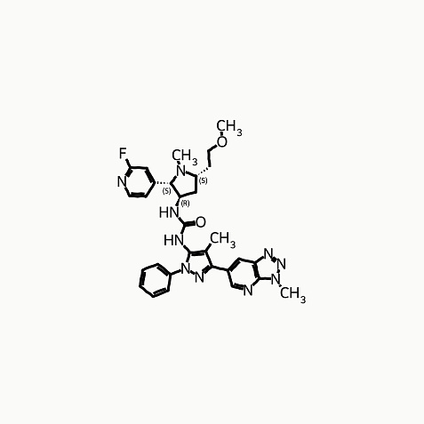 COCC[C@@H]1C[C@@H](NC(=O)Nc2c(C)c(-c3cnc4c(c3)nnn4C)nn2-c2ccccc2)[C@H](c2ccnc(F)c2)N1C